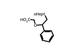 CCCCCCCCC(OCC(=O)O)c1ccccc1